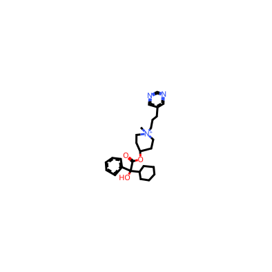 C[N+]1(CCCc2cncnc2)CCC(OC(=O)C(O)(c2ccccc2)C2CCCCC2)CC1